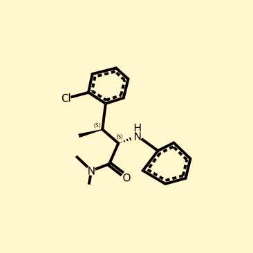 C[C@@H](c1ccccc1Cl)[C@H](Nc1ccccc1)C(=O)N(C)C